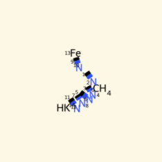 C.C#N.C#N.C#N.C#N.C#N.C#N.[Fe].[KH]